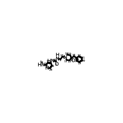 CNc1cc(NC(=O)NCCN2CCC(O)(Cc3ccccc3)CC2)ccn1